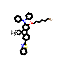 CCC1(CC)c2cc(-c3nc4ccccc4s3)ccc2-c2cc(OCCCCCCBr)c(N(c3ccccc3)c3ccccc3)cc21